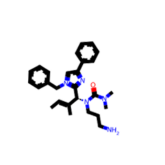 CC=C(C)[C@H](c1nc(-c2ccccc2)cn1Cc1ccccc1)N(CCCN)C(=O)N(C)C